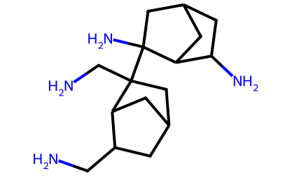 NCC1CC2CC1C(CN)(C1(N)CC3CC(N)C1C3)C2